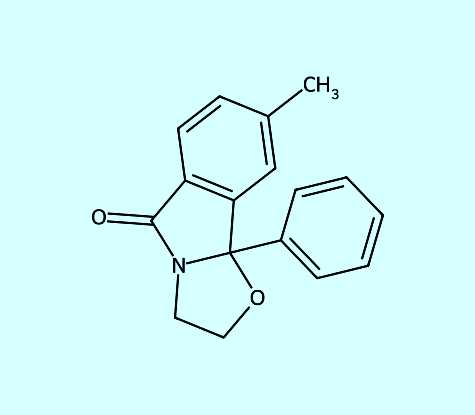 Cc1ccc2c(c1)C1(c3ccccc3)OCCN1C2=O